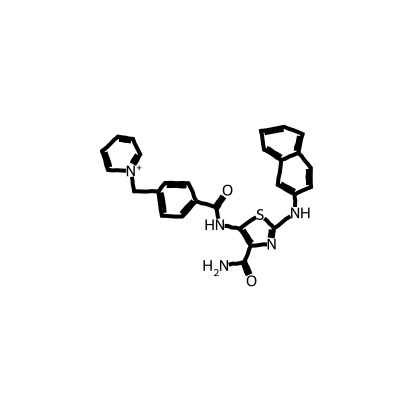 NC(=O)c1nc(Nc2ccc3ccccc3c2)sc1NC(=O)c1ccc(C[n+]2ccccc2)cc1